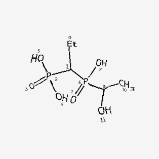 CCC(P(=O)(O)O)P(=O)(O)C(C)O